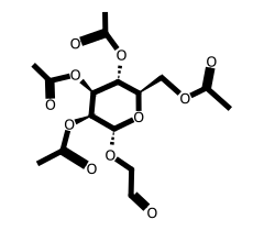 CC(=O)OC[C@H]1O[C@H](OCC=O)[C@@H](OC(C)=O)[C@@H](OC(C)=O)[C@@H]1OC(C)=O